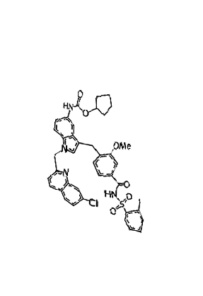 COc1cc(C(=O)NS(=O)(=O)c2ccccc2C)ccc1Cc1cn(Cc2ccc3ccc(Cl)cc3n2)c2ccc(NC(=O)OC3CCCC3)cc12